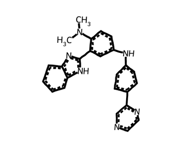 CN(C)c1ccc(Nc2ccc(-c3cnccn3)cc2)cc1-c1nc2ccccc2[nH]1